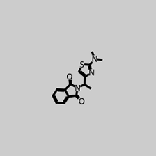 CC(c1csc(N(C)C)n1)N1C(=O)c2ccccc2C1=O